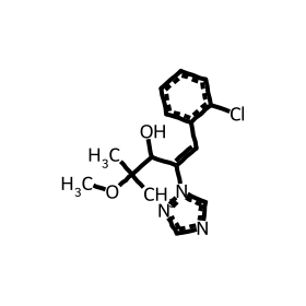 COC(C)(C)C(O)/C(=C\c1ccccc1Cl)n1cncn1